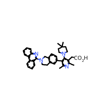 Cc1nc(C)c(-c2ccc3c(c2)CCN(c2nc4ccccc4c4ccccc24)C3)c(N2CCC(C)(C)CC2)c1CC(=O)O